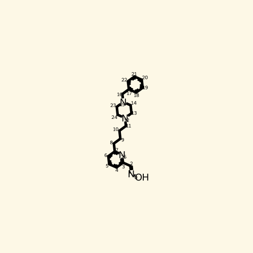 ON=Cc1cccc(CCCCN2CCN(Cc3ccccc3)CC2)n1